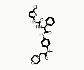 CN(C(=O)CN1CCOCC1)c1ccc(NC(=O)C(NC(=O)Nc2ccc(Cl)s2)c2ccccc2)cc1